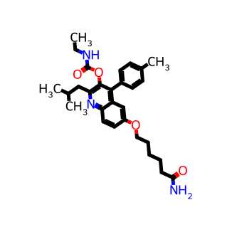 CCNC(=O)Oc1c(CC(C)C)nc2ccc(OCCCCCC(N)=O)cc2c1-c1ccc(C)cc1